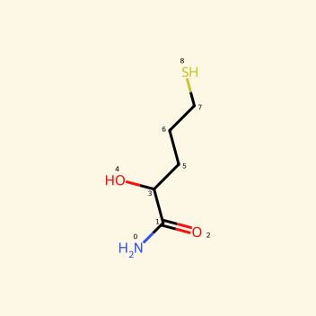 NC(=O)C(O)CCCS